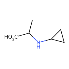 CC(NC1CC1)C(=O)O